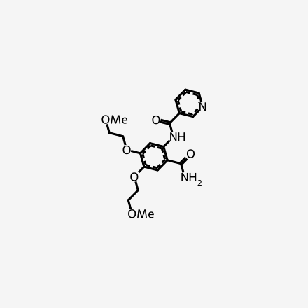 COCCOc1cc(NC(=O)c2cccnc2)c(C(N)=O)cc1OCCOC